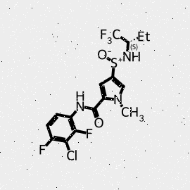 CC[C@H](N[S+]([O-])c1cc(C(=O)Nc2ccc(F)c(Cl)c2F)n(C)c1)C(F)(F)F